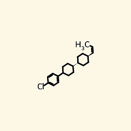 C/C=C\[C@H]1CC[C@H](C2CCC(c3ccc(Cl)cc3)CC2)CC1